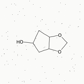 OC1CC2OCOC2C1